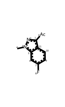 CC(=O)c1nn(C)c2cc(F)ccc12